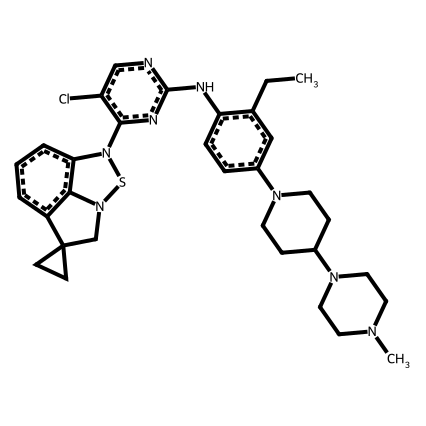 CCc1cc(N2CCC(N3CCN(C)CC3)CC2)ccc1Nc1ncc(Cl)c(N2SN3CC4(CC4)c4cccc2c43)n1